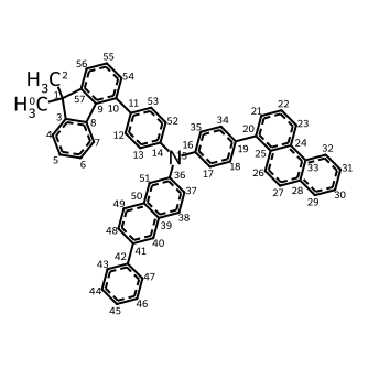 CC1(C)c2ccccc2-c2c(-c3ccc(N(c4ccc(-c5cccc6c5ccc5ccccc56)cc4)c4ccc5cc(-c6ccccc6)ccc5c4)cc3)cccc21